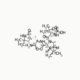 CC1(C)C[C@@H](C[C@H](NC(=O)[C@@H]2[C@@H]3[C@H](CN2C(=O)[C@@H](NC(=O)O)C(C)(C)C)C3(C)C)C(N)=O)C(=O)N1